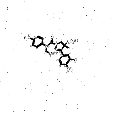 CCOC(=O)C1(C)CN(C(=O)N(COC)c2ccc(C(F)(F)F)cc2)N=C1c1ccc(C(F)(F)F)c(Cl)c1